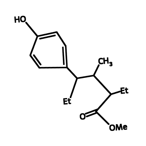 CCC(C(=O)OC)C(C)C(CC)c1ccc(O)cc1